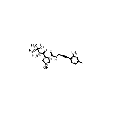 Cc1cc(F)ccc1C#CCNC(=O)[C@@H]1C[C@@H](O)CN1C(=O)[C@@H](N)C(C)(C)C